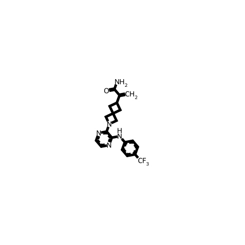 C=C(C(N)=O)C1CC2(C1)CN(c1nccnc1Nc1ccc(C(F)(F)F)cc1)C2